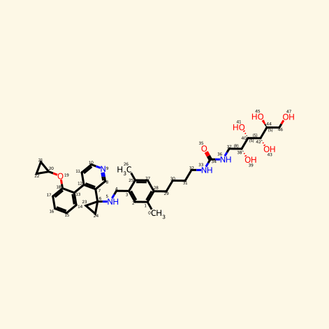 Cc1cc(CNC2(c3cnccc3-c3ccccc3OC3CC3)CC2)c(C)cc1CCCCNC(=O)NC[C@@H](O)[C@H](O)[C@@H](O)[C@@H](O)CO